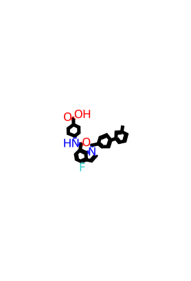 Cc1cccc(-c2ccc(Cn3ccc4c(F)ccc(C(=O)NC5CCC(C(=O)O)CC5)c43)cc2)c1